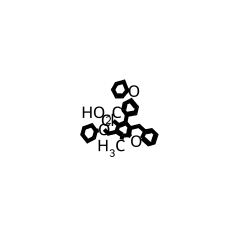 Cc1c(COC2CCCCC2)c(Cl)c(-c2ccccc2C(=O)O)c2c1Oc1ccccc1C2.O=C1C=CCCC1